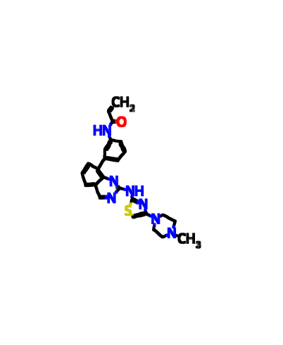 C=CC(=O)Nc1cccc(-c2cccc3cnc(Nc4nc(N5CCN(C)CC5)cs4)nc23)c1